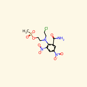 CS(=O)(=O)OCCN(CCCl)c1c(C(N)=O)cc([N+](=O)[O-])cc1[N+](=O)[O-]